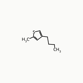 CCCCc1csc(C)c1